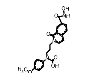 COc1ccc(N(CCCn2ccc3ccc(C(=O)NO)cc3c2=O)C(=O)O)cc1